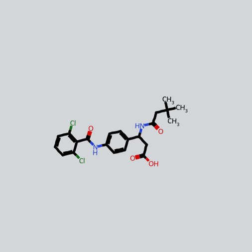 CC(C)(C)CC(=O)NC(CC(=O)O)c1ccc(NC(=O)c2c(Cl)cccc2Cl)cc1